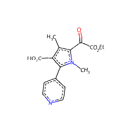 CCOC(=O)C(=O)c1c(C)c(C(=O)O)c(-c2ccncc2)n1C